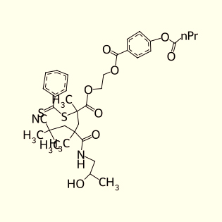 CCCC(=O)Oc1ccc(C(=O)OCCOC(=O)C(C)(CC(C)(CC(C)(C)C#N)C(=O)NCC(C)O)SC(=S)c2ccccc2)cc1